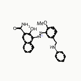 COc1ccc(CNc2ccccc2)cc1/N=N/c1c(O)c(C(N)=O)cc2ccccc12